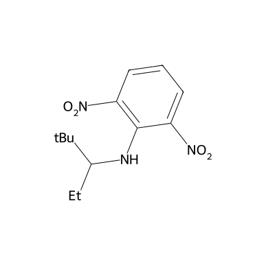 [CH2]CC(Nc1c([N+](=O)[O-])cccc1[N+](=O)[O-])C(C)(C)C